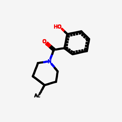 CC(=O)C1CCN(C(=O)c2ccccc2O)CC1